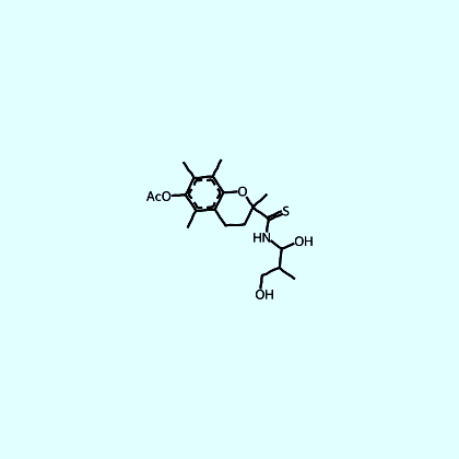 CC(=O)Oc1c(C)c(C)c2c(c1C)CCC(C)(C(=S)NC(O)C(C)CO)O2